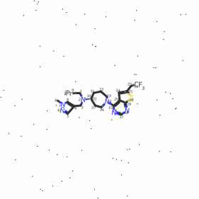 CC(C)CN(Cc1cnn(C)c1)[C@H]1CCCN(c2ncnc3sc(CC(F)(F)F)cc23)CC1